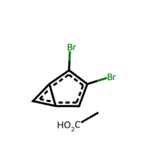 Brc1cc2cc-2c1Br.CC(=O)O